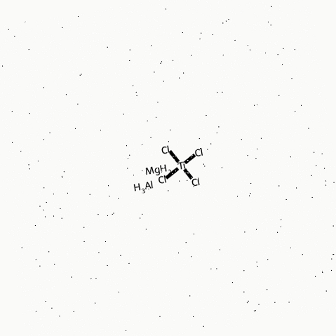 [AlH3].[Cl][Ti]([Cl])([Cl])[Cl].[MgH2]